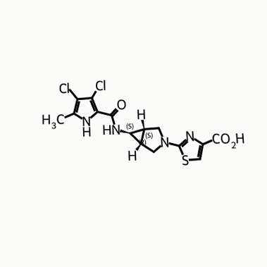 Cc1[nH]c(C(=O)N[C@H]2[C@@H]3CN(c4nc(C(=O)O)cs4)C[C@@H]32)c(Cl)c1Cl